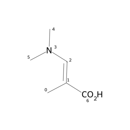 C/C(=C\N(C)C)C(=O)O